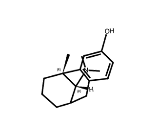 CN(C)[C@@H]1C2CCC[C@]1(C)c1cc(O)ccc1C2